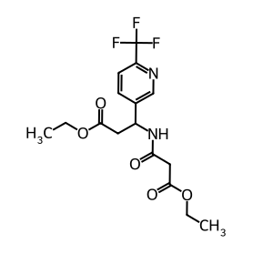 CCOC(=O)CC(=O)NC(CC(=O)OCC)c1ccc(C(F)(F)F)nc1